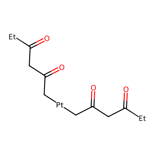 CCC(=O)CC(=O)[CH2][Pt][CH2]C(=O)CC(=O)CC